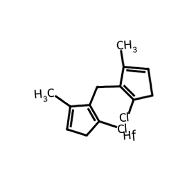 CC1=CCC(Cl)=C1CC1=C(Cl)CC=C1C.[Hf]